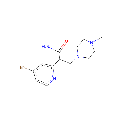 CN1CCN(CC(C(N)=O)c2cc(Br)ccn2)CC1